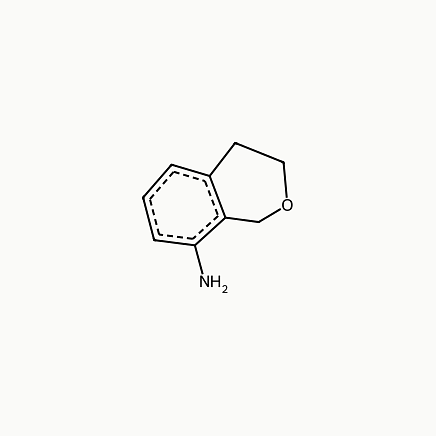 Nc1cccc2c1COCC2